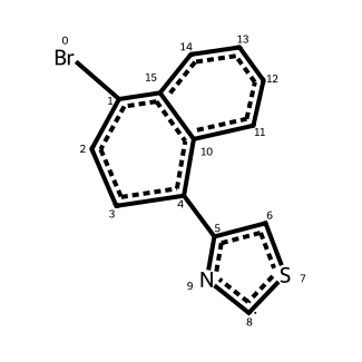 Brc1ccc(-c2cs[c]n2)c2ccccc12